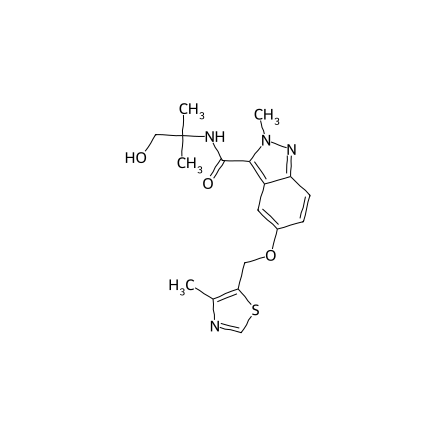 Cc1ncsc1COc1ccc2nn(C)c(C(=O)NC(C)(C)CO)c2c1